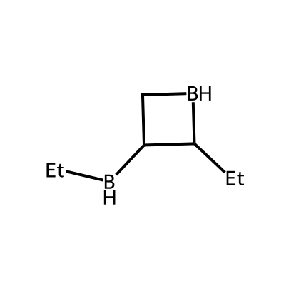 CCBC1CBC1CC